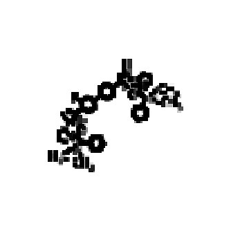 CCN(CC)[C@@H](C(=O)N1CCC[C@H]1c1ncc(-c2ccc(-c3ccc(C4=CNC([C@@H]5CCCN5C(=O)[C@@H](c5ccccc5)N(CC)CC)N4)cc3)cc2F)[nH]1)c1ccccc1